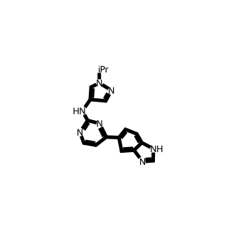 CC(C)n1cc(Nc2nccc(-c3ccc4[nH]cnc4c3)n2)cn1